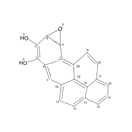 OC1=C(O)C2OC2c2c1cc1ccc3cccc4ccc2c1c34